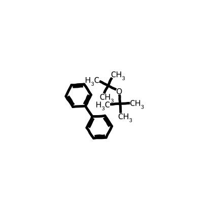 CC(C)(C)OC(C)(C)C.c1ccc(-c2ccccc2)cc1